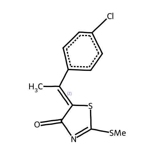 CSC1=NC(=O)/C(=C(\C)c2ccc(Cl)cc2)S1